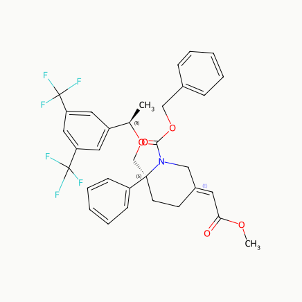 COC(=O)/C=C1\CC[C@@](CO[C@H](C)c2cc(C(F)(F)F)cc(C(F)(F)F)c2)(c2ccccc2)N(C(=O)OCc2ccccc2)C1